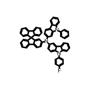 Fc1ccc(-n2c3ccccc3c3cc(N(c4ccc5c(c4)C4(c6ccccc6-c6ccccc64)c4ccccc4-5)c4ccc5c6ccccc6n(-c6ccccc6)c5c4)ccc32)cc1